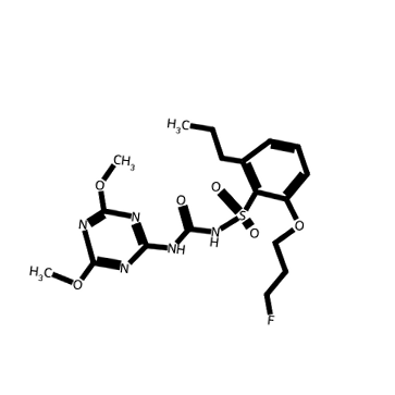 CCCc1cccc(OCCCF)c1S(=O)(=O)NC(=O)Nc1nc(OC)nc(OC)n1